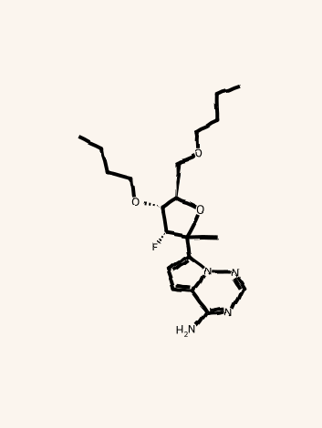 CCCCOC[C@H]1OC(C)(c2ccc3c(N)ncnn23)[C@H](F)[C@@H]1OCCCC